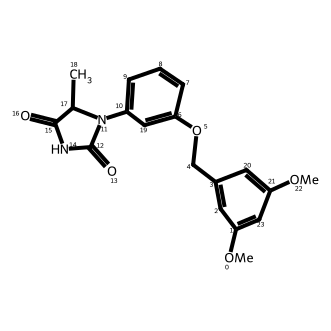 COc1cc(COc2cccc(N3C(=O)NC(=O)C3C)c2)cc(OC)c1